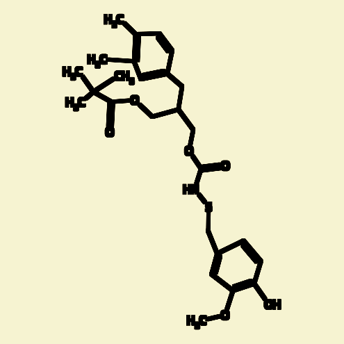 COc1cc(CSNC(=O)OCC(COC(=O)C(C)(C)C)Cc2ccc(C)c(C)c2)ccc1O